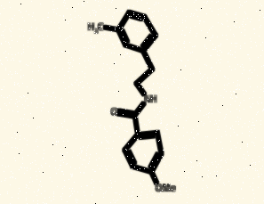 COc1ccc(C(=O)NCCc2cccc(C)c2)cc1